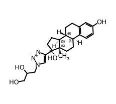 C[C@]12CC[C@@H]3c4ccc(O)cc4CC[C@H]3[C@@H]1CC[C@]2(O)c1cn(CC(O)CO)nn1